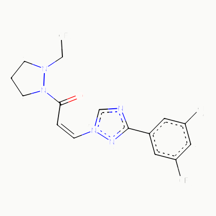 O=C(/C=C\n1cnc(-c2cc(C(F)(F)F)cc(C(F)(F)F)c2)n1)N1CCCN1CC(F)(F)F